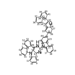 C1=CCC(n2c3c(c4ccccc42)=NC(n2c4ccccc4c4cc(C5=CCC6OC7=C(C6=C5)c5cccc6cccc7c56)ccc42)NC=3c2ccccc2)C=C1